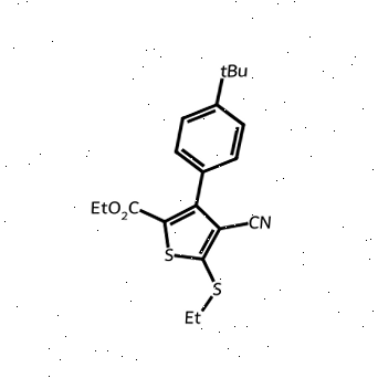 CCOC(=O)c1sc(SCC)c(C#N)c1-c1ccc(C(C)(C)C)cc1